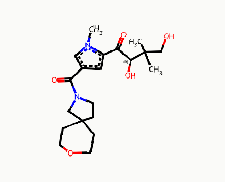 Cn1cc(C(=O)N2CCC3(CCOCC3)C2)cc1C(=O)[C@H](O)C(C)(C)CO